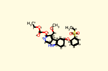 CCOC(=O)Oc1ncc2[nH]c3ccc(Oc4ccccc4S(=O)(=O)CC)cc3c2c1COC